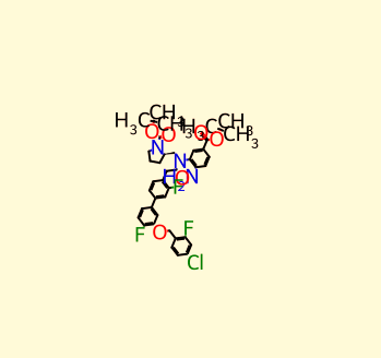 CC(C)(C)OC(=O)c1ccc(N)c(N(C[C@H]2CCCN2C(=O)OC(C)(C)C)C(=O)Cc2ccc(-c3ccc(F)c(OCc4ccc(Cl)cc4F)c3)cc2F)c1